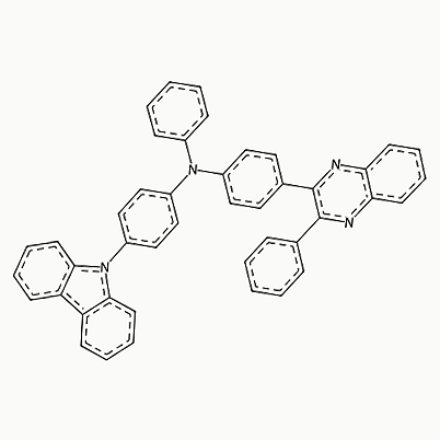 c1ccc(-c2nc3ccccc3nc2-c2ccc(N(c3ccccc3)c3ccc(-n4c5ccccc5c5ccccc54)cc3)cc2)cc1